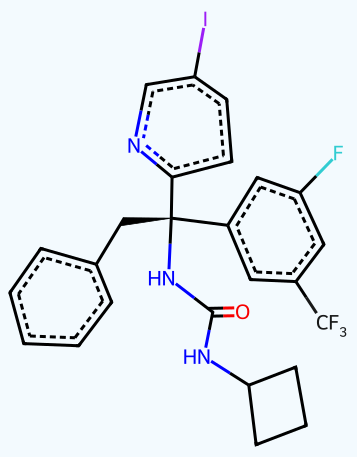 O=C(NC1CCC1)N[C@@](Cc1ccccc1)(c1cc(F)cc(C(F)(F)F)c1)c1ccc(I)cn1